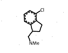 CNCC1CCc2c(Cl)cccc21